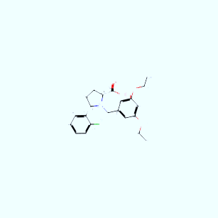 CCOc1cc(CN2[C@@H](c3ccccc3Cl)CC[C@H]2C(=O)O)cc(OCC)c1